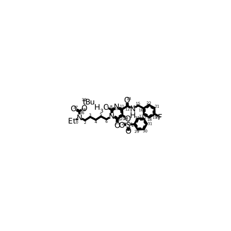 CCN(CCCCCn1c(C)nc(C(=O)NCc2ccc(F)cc2)c(OS(=O)(=O)c2ccccc2)c1=O)C(=O)OC(C)(C)C